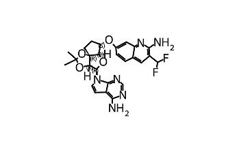 CC1(C)O[C@H]2[C@H](n3ccc4c(N)ncnc43)O[C@@H]3[C@@H](Oc4ccc5cc(C(F)F)c(N)nc5c4)CC[C@@]32O1